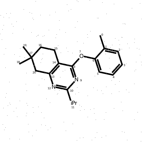 Cc1ccccc1Oc1nc(C(C)C)nc2c1CCC(C)(C)C2